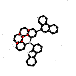 c1ccc(-c2ccccc2N(c2cc(-c3cc4ccccc4c4ccccc34)ccc2-c2ccccc2)c2cccc3c2sc2ccccc23)cc1